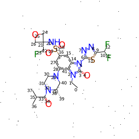 CCn1c(=O)n(-c2nnc(C(F)F)s2)c2cc(S(=O)(=O)NC3(CF)COC3)cc(N3CCN(C(=O)C(C)C)[C@@H](C)C3)c21